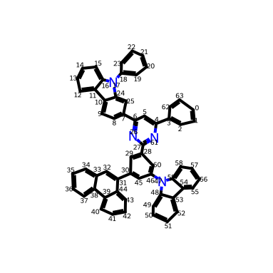 c1ccc(-c2cc(-c3ccc4c5ccccc5n(-c5ccccc5)c4c3)nc(-c3cc(-c4cc5ccccc5c5ccccc45)cc(-n4c5ccccc5c5ccccc54)c3)n2)cc1